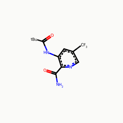 CC(C)(C)C(=O)Nc1cc(C(F)(F)F)cnc1C(N)=O